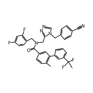 Cc1ccc(C(=O)N(Cc2ccc(F)cc2F)Cc2nncn2Cc2ccc(C#N)cc2)cc1-c1cccc(C(C)(F)F)c1